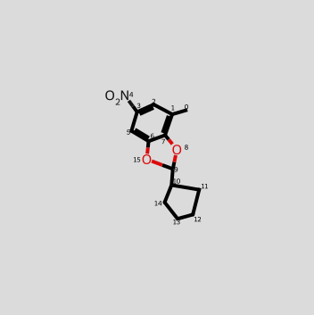 Cc1cc([N+](=O)[O-])cc2c1OC(C1CCCC1)O2